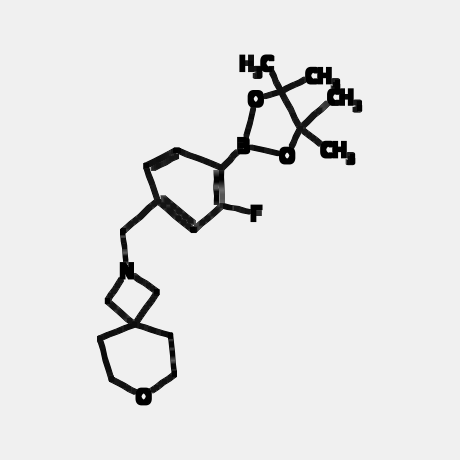 CC1(C)OB(c2ccc(CN3CC4(CCOCC4)C3)cc2F)OC1(C)C